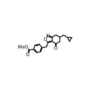 COC(=O)c1ccc(Cc2onc3c2C(=O)CC(CC2CC2)C3)cc1